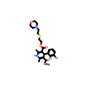 COC(=O)C1=C(C)NC(C)=C(C(=O)OCCSCCN2CCOCC2)C1c1cccc(Cl)c1Cl